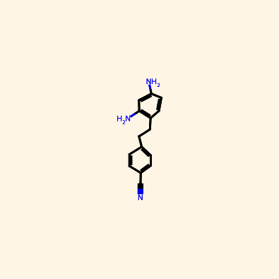 N#Cc1ccc(CCc2ccc(N)cc2N)cc1